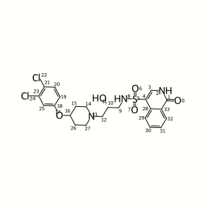 O=c1[nH]cc(S(=O)(=O)NC[C@@H](O)CN2CCC(Oc3ccc(Cl)c(Cl)c3)CC2)c2ccccc12